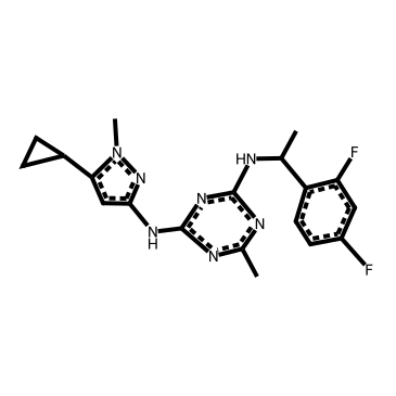 Cc1nc(Nc2cc(C3CC3)n(C)n2)nc(NC(C)c2ccc(F)cc2F)n1